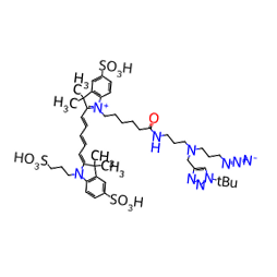 CC1(C)C(/C=C/C=C/C=C2/N(CCCS(=O)(=O)O)c3ccc(S(=O)(=O)O)cc3C2(C)C)=[N+](CCCCCC(=O)NCCCN(CCCN=[N+]=[N-])Cc2cn(C(C)(C)C)nn2)c2ccc(S(=O)(=O)O)cc21